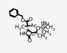 CC(=O)C(C)(C(=O)OCc1ccccc1)[C@H]1NC(=O)[C@@H]1[C@@H](C)O[Si](C)(C)C(C)(C)C